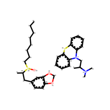 CC(CN1c2ccccc2Sc2ccccc21)N(C)C.CCCCCCCC[S+]([O-])C(C)Cc1ccc2c(c1)OCO2